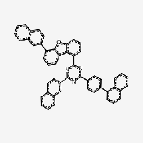 c1ccc2cc(-c3nc(-c4ccc(-c5cccc6ccccc56)cc4)nc(-c4cccc5oc6c(-c7ccc8ccccc8c7)cccc6c45)n3)ccc2c1